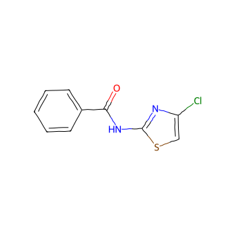 O=C(Nc1nc(Cl)cs1)c1ccccc1